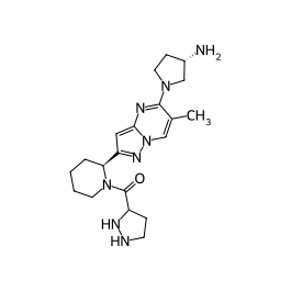 Cc1cn2nc([C@@H]3CCCCN3C(=O)C3CCNN3)cc2nc1N1CC[C@H](N)C1